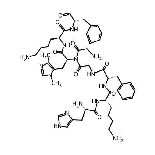 Cc1ncn(C)c1C[C@@H](C(=O)N[C@@H](CCCCN)C(=O)N[C@H]([C]=O)Cc1ccccc1)N(C(=O)CN)C(=O)CNC(=O)[C@H](Cc1ccccc1)NC(=O)[C@H](CCCCN)NC(=O)[C@@H](N)Cc1c[nH]cn1